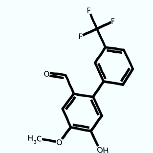 COc1cc(C=O)c(-c2cccc(C(F)(F)F)c2)cc1O